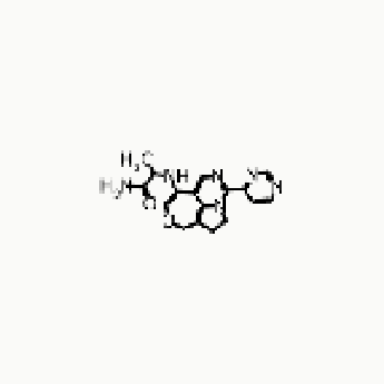 CC(NC1=COCC2=C3C1=CN=C(c1ccncn1)N3CC2)C(N)=O